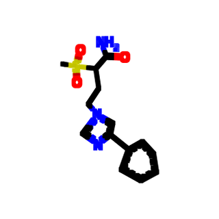 CS(=O)(=O)C(CCn1cnc(-c2ccccc2)c1)C(N)=O